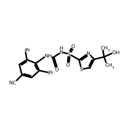 CC(C)c1cc(C#N)cc(C(C)C)c1NC(=O)NS(=O)(=O)c1nc(C(C)(C)O)cs1